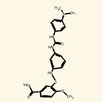 COc1ccc(C(=O)O)cc1SNc1cccc(NC(=O)Nc2ccc(N(C)C)cc2)c1